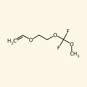 C=COCCOC(F)(F)OC